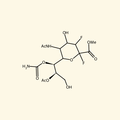 COC(=O)C1(F)OC([C@H](OC(N)=O)[C@@H](CO)OC(C)=O)C(NC(C)=O)C(O)C1F